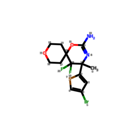 CC1(c2cc(Br)cs2)N=C(N)OC2(CCOCC2)C1(F)F